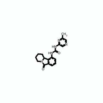 Cc1cncc(NC(=O)Nc2cccc3c2C2CCCCN2C3=O)n1